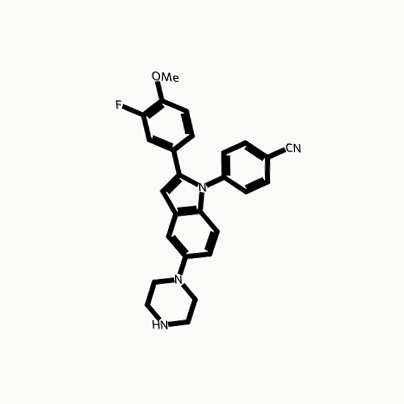 COc1ccc(-c2cc3cc(N4CCNCC4)ccc3n2-c2ccc(C#N)cc2)cc1F